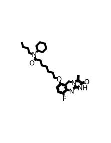 C=c1c(=O)[nH]c2n1Cc1c(OCCCCCCC(=O)N(CCCC)C3CCCCC3)ccc(F)c1N=2